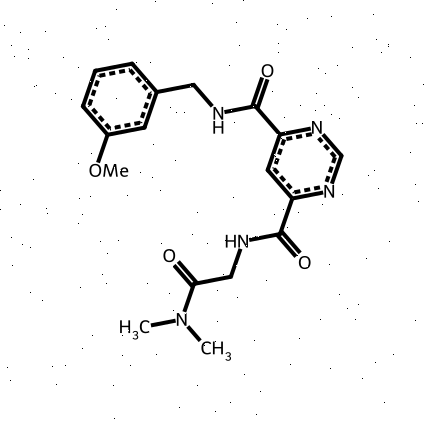 COc1cccc(CNC(=O)c2cc(C(=O)NCC(=O)N(C)C)ncn2)c1